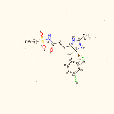 CCCCCS(=O)(=O)NC(=O)/C=C/C1=NC(C)=NC1(Br)Cc1ccc(Cl)cc1Cl